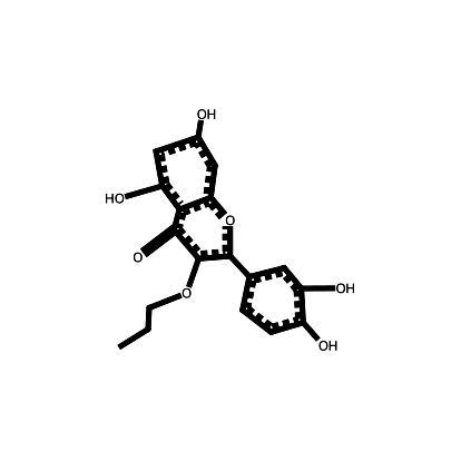 CCCOc1c(-c2ccc(O)c(O)c2)oc2cc(O)cc(O)c2c1=O